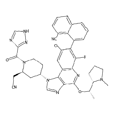 C[C@H](Oc1nc2c(F)c(-c3cccc4cccc(C#N)c34)c(Cl)cc2c2c1ncn2[C@H]1CCN(C(=O)c2nc[nH]n2)[C@H](CC#N)C1)[C@@H]1CCCN1C